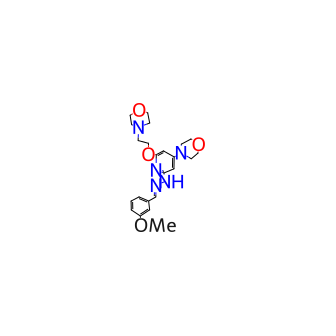 COc1cccc(/C=N/Nc2cc(N3CCOCC3)cc(OCCN3CCOCC3)n2)c1